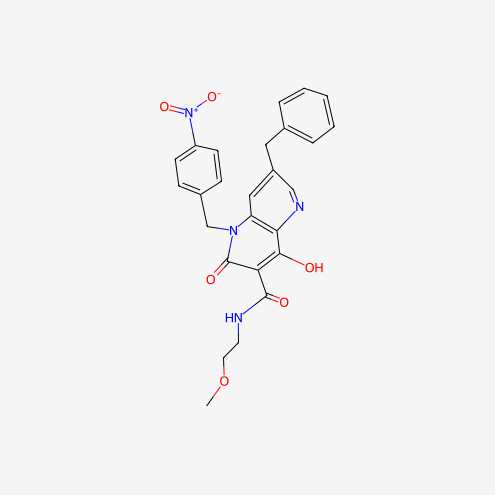 COCCNC(=O)c1c(O)c2ncc(Cc3ccccc3)cc2n(Cc2ccc([N+](=O)[O-])cc2)c1=O